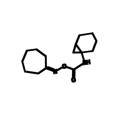 O=C(NC12CCCCC1C2)ON=C1CCCCCC1